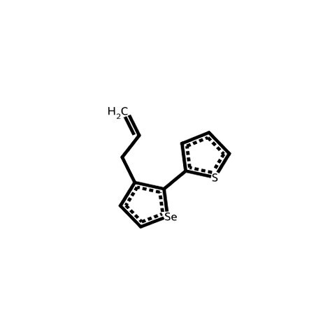 C=CCc1cc[se]c1-c1cccs1